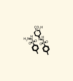 Cc1ccc(S(=O)(=O)NN)cc1.Cc1ccc(S(=O)(=O)NN=C2CCN(C(=O)O)CC2)cc1